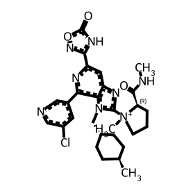 CNC(=O)[C@H]1CCC[N+]1(C)c1nc2cc(-c3noc(=O)[nH]3)nc(-c3cncc(Cl)c3)c2n1C[C@H]1CC[C@H](C)CC1